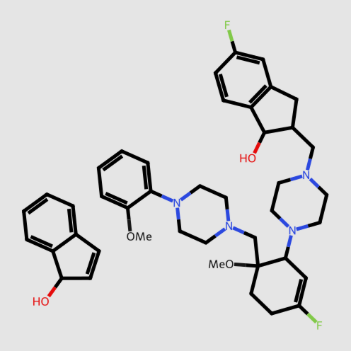 COc1ccccc1N1CCN(CC2(OC)CCC(F)=CC2N2CCN(CC3Cc4cc(F)ccc4C3O)CC2)CC1.OC1C=Cc2ccccc21